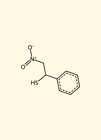 O=[N+]([O-])CC(S)c1ccccc1